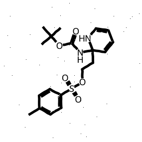 Cc1ccc(S(=O)(=O)OCCC2(NC(=O)OC(C)(C)C)C=CC=CN2)cc1